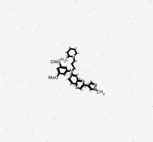 COc1cc(OC)cc(N(CCCN2CCCCC2C)c2ccc3ncc(-c4cnn(C)c4)nc3c2)c1